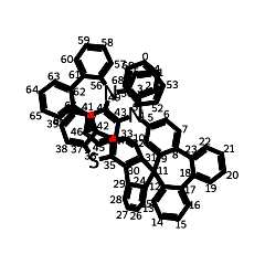 c1ccc(N(c2ccc3c(c2)C2(c4ccccc4-c4ccccc4-3)c3ccccc3-c3c2ccc2c3sc3ccccc32)c2cccc3c2N(c2ccccc2)c2ccccc2-c2ccccc2-3)cc1